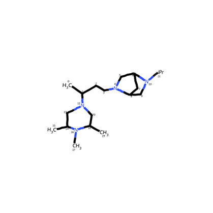 CC(CCN1CC2CC1CN2C(C)C)N1CC(C)N(C)C(C)C1